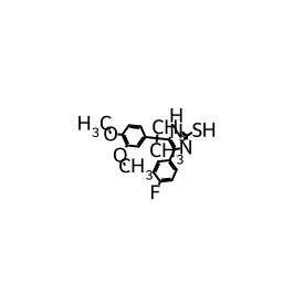 COc1ccc(C(C)(C)c2[nH]c(S)nc2-c2ccc(F)cc2)cc1OC